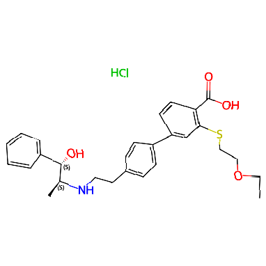 CCOCCSc1cc(-c2ccc(CCN[C@@H](C)[C@@H](O)c3ccccc3)cc2)ccc1C(=O)O.Cl